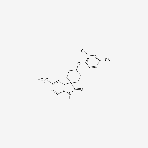 N#Cc1ccc(OC2CCC3(CC2)C(=O)Nc2ccc(C(=O)O)cc23)c(Cl)c1